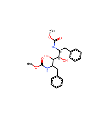 CC(C)(C)OC(=O)NC(Cc1ccccc1)C(O)[C@H](O)[C@H](Cc1ccccc1)NC(=O)OC(C)(C)C